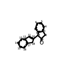 O=C1Cc2ccccc2C1C1=Cc2ccccc2C1